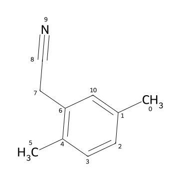 Cc1ccc(C)c(CC#N)c1